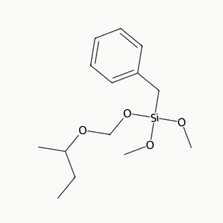 CCC(C)OCO[Si](Cc1ccccc1)(OC)OC